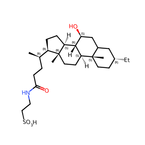 CC[C@@H]1CC[C@@]2(C)C(C1)C[C@H](O)[C@H]1[C@@H]3CC[C@H]([C@H](C)CCC(=O)NCCS(=O)(=O)O)[C@@]3(C)CC[C@@H]12